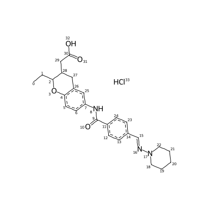 CCC1Oc2ccc(NC(=O)c3ccc(C=NN4CCCCC4)cc3)cc2CC1CC(=O)O.Cl